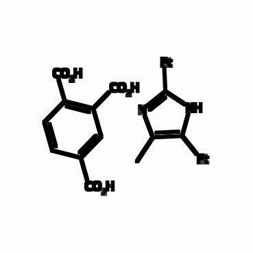 CCc1nc(C)c(CC)[nH]1.O=C(O)c1ccc(C(=O)O)c(C(=O)O)c1